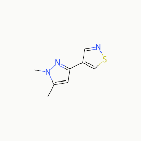 Cc1cc(-c2cnsc2)nn1C